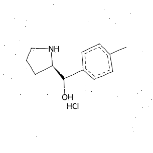 Cc1ccc(C(O)[C@H]2CCCN2)cc1.Cl